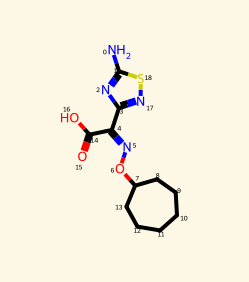 Nc1nc(C(=NOC2CCCCCC2)C(=O)O)ns1